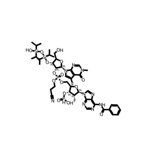 CC(C)[Si](O)(O[Si](O[C@@H]1C(CO)O[C@@H](n2cc(F)c3c(=O)n(C)cnc32)[C@@H]1OP(=O)(OCCC#N)OCC1O[C@@H](n2cnc3c(NC(=O)c4ccccc4)ncnc32)[C@H](F)[C@@H]1O[PH](=O)O)(C(C)C)C(C)C)C(C)C